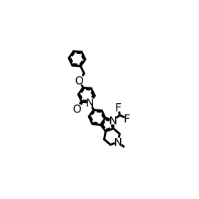 CN1CCc2c(n(C(F)F)c3cc(-n4ccc(OCc5ccccc5)cc4=O)ccc23)C1